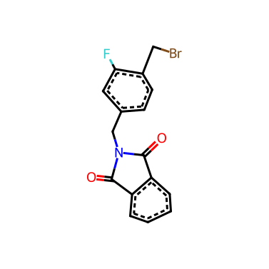 O=C1c2ccccc2C(=O)N1Cc1ccc(CBr)c(F)c1